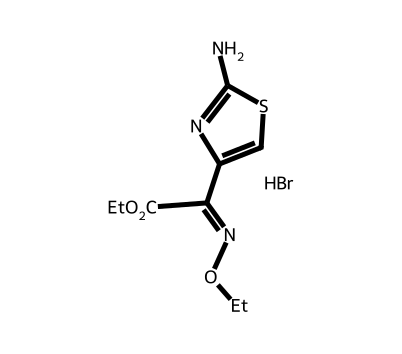 Br.CCON=C(C(=O)OCC)c1csc(N)n1